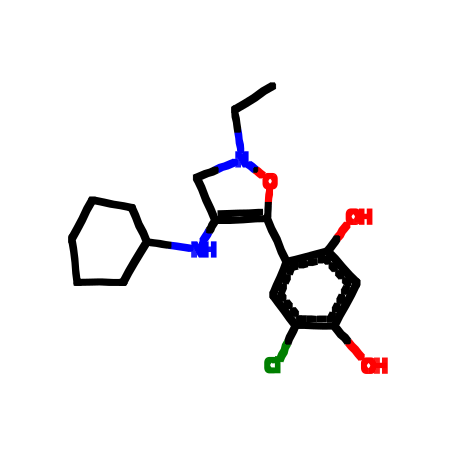 CCN1CC(NC2CCCCC2)=C(c2cc(Cl)c(O)cc2O)O1